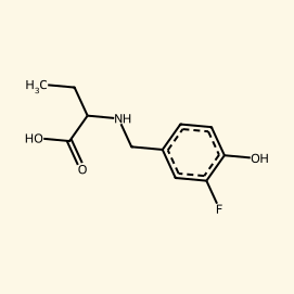 CCC(NCc1ccc(O)c(F)c1)C(=O)O